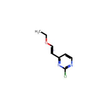 CCO/C=C/c1ccnc(Cl)n1